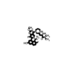 CCc1c(F)ccc2cc(O)cc(-c3ncc4c(N5CCCN/C(=C\C(=N)C(=O)N(C)C)C5)nc(OC)nc4c3F)c12